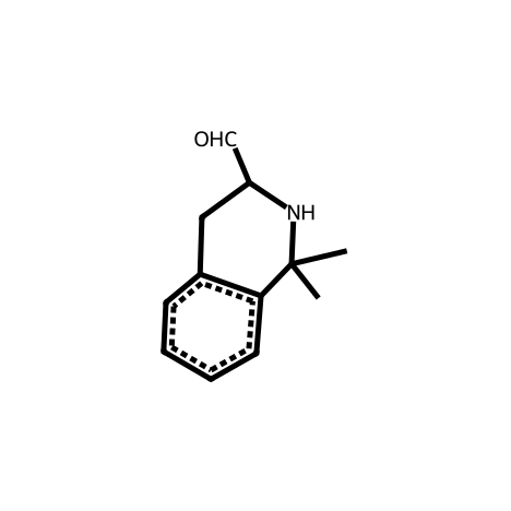 CC1(C)NC(C=O)Cc2ccccc21